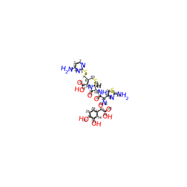 Nc1ccnc(SCC2=C(C(=O)O)N3C(=O)C(NC(=O)/C(=N\O[C@@H](C(=O)O)c4ccc(O)c(O)c4)c4csc(N)n4)[C@@H]3SC2)n1